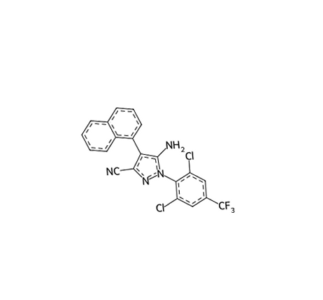 N#Cc1nn(-c2c(Cl)cc(C(F)(F)F)cc2Cl)c(N)c1-c1cccc2ccccc12